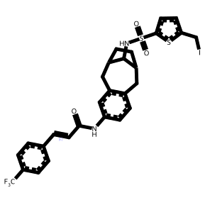 O=C(/C=C/c1ccc(C(F)(F)F)cc1)Nc1ccc2c(c1)CC1CCC(C2)C1NS(=O)(=O)c1ccc(CI)s1